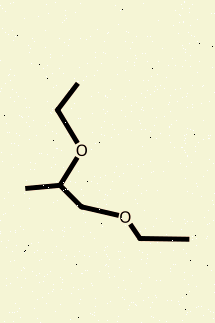 CCOCC(C)OCC